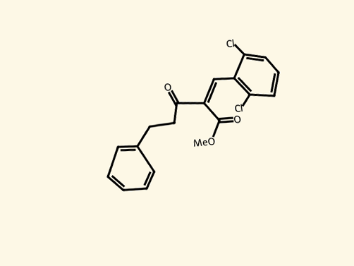 COC(=O)C(=Cc1c(Cl)cccc1Cl)C(=O)CCc1ccccc1